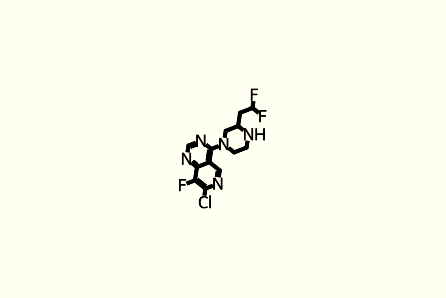 Fc1c(Cl)ncc2c(N3CCNC(CC(F)F)C3)ncnc12